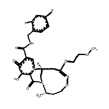 COCCO/C1=N/OCC[C@H](C)N2C[C@H](C1)n1cc(C(=O)NCc3ccc(F)cc3F)c(=O)c(O)c1C2=O